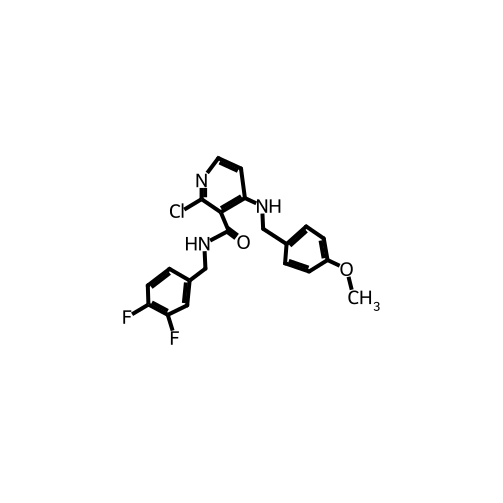 COc1ccc(CNc2ccnc(Cl)c2C(=O)NCc2ccc(F)c(F)c2)cc1